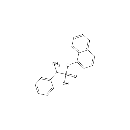 NC(c1ccccc1)P(=O)(O)Oc1cccc2ccccc12